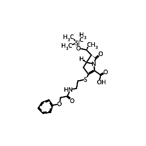 C[C@H](O[Si](C)(C)C)[C@@H]1C(=O)N2C(C(=O)O)=C(SCCNC(=O)COc3ccccc3)C[C@H]12